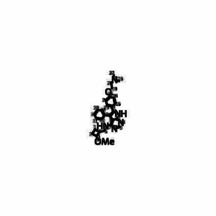 COC1CCC1CNc1ncnc2[nH]c(-c3ccc(OCCN(C)C)cc3)c(-c3ccccc3)c12